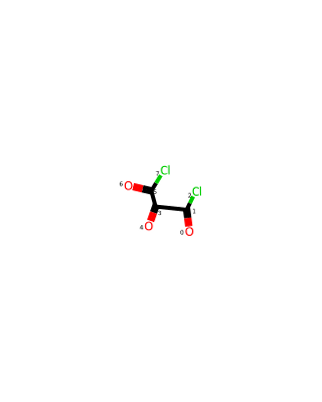 O=C(Cl)C(=O)C(=O)Cl